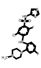 CN1CCN(c2cc(F)ccc2Nc2cc(F)c(S(=O)(=O)Nc3cscn3)cc2Cl)CC1